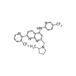 CC1CCCN1Cc1cc(Nc2ccc(C(F)(F)F)cn2)c2ccc(-c3ncccc3C(F)(F)F)nc2n1